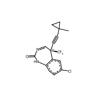 CC1(C#C[C@@]2(C(F)(F)F)C=NC(=O)Nc3ccc(Cl)cc32)CC1